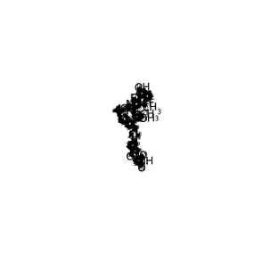 CCc1c(F)ccc2cc(O)cc(-c3ncc4c(N5CCC[C@@](C)(O)C5)nc(OCC5(CN6CCC7(CCC(CN8CCN(c9ccc%10c(c9)CN([C@H]9CCC(=O)NC9=O)C%10=O)CC8)CC7)CC6)CC5)nc4c3F)c12